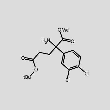 COC(=O)C(N)(CCC(=O)OC(C)(C)C)c1ccc(Cl)c(Cl)c1